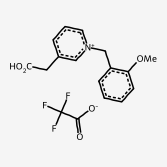 COc1ccccc1C[n+]1cccc(CC(=O)O)c1.O=C([O-])C(F)(F)F